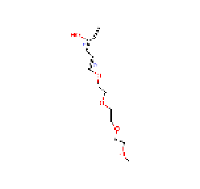 C=C/C(O)=C\C=C\OCCOCCOCCOC